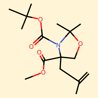 C=C(C)CC1(C(=O)OC)COC(C)(C)N1C(=O)OC(C)(C)C